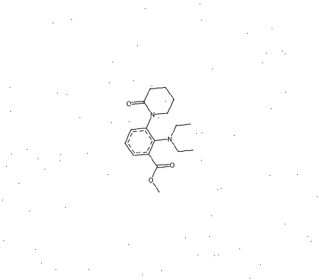 CCN(CC)c1c(C(=O)OC)cccc1N1CCCCC1=O